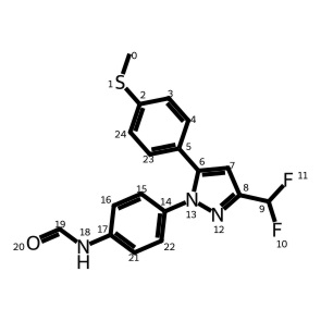 CSc1ccc(-c2cc(C(F)F)nn2-c2ccc(NC=O)cc2)cc1